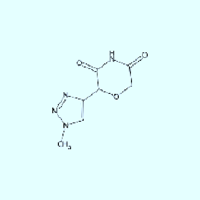 Cn1cc(C2OCC(=O)NC2=O)nn1